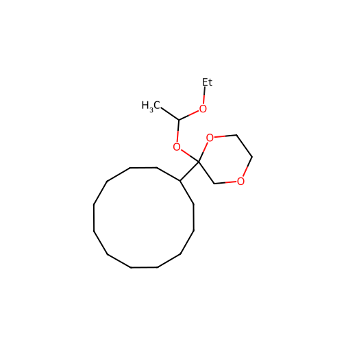 CCOC(C)OC1(C2CCCCCCCCCCC2)COCCO1